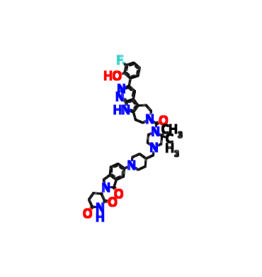 CC1(C)CN(CC2CCN(c3ccc4c(c3)C(=O)N([C@H]3CCC(=O)NC3=O)C4)CC2)CCN1C(=O)N1CCc2[nH]c3nnc(-c4cccc(F)c4O)cc3c2CC1